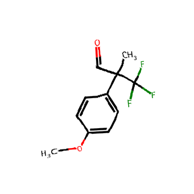 COc1ccc(C(C)(C=O)C(F)(F)F)cc1